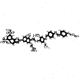 COc1cc(N=Nc2c(SOOO)cc3cc(-n4nc5ccc6c(S(=O)(=O)O)cc(S(=O)(=O)O)cc6c5n4)ccc3c2O)c(O)cc1N=Nc1ccc(N=Nc2ccc(SOOO)cc2)cc1